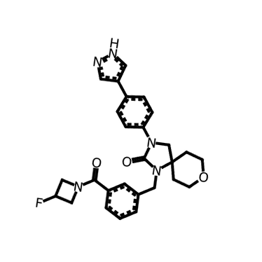 O=C(c1cccc(CN2C(=O)N(c3ccc(-c4cn[nH]c4)cc3)CC23CCOCC3)c1)N1CC(F)C1